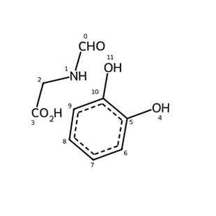 O=CNCC(=O)O.Oc1ccccc1O